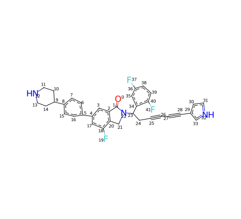 O=C1c2cc(-c3ccc(C4CCNCC4)cc3)cc(F)c2CN1C(CC#CC#Cc1cc[nH]c1)c1cc(F)ccc1F